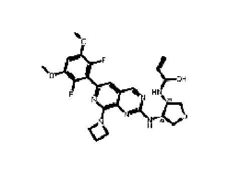 C=CC(O)N[C@H]1COC[C@H]1Nc1ncc2cc(-c3c(F)c(OC)cc(OC)c3F)nc(N3CCC3)c2n1